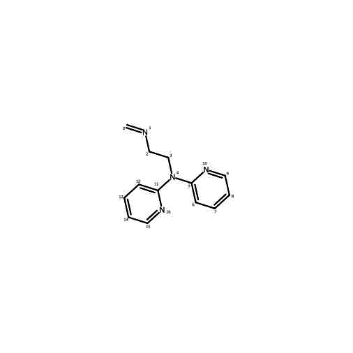 C=NCCN(c1ccccn1)c1ccccn1